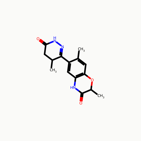 Cc1cc2c(cc1C1=NNC(=O)CC1C)NC(=O)C(C)O2